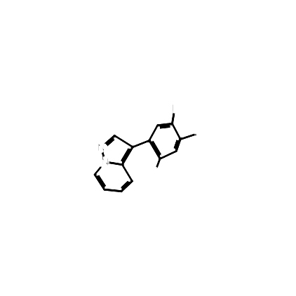 Fc1cc(F)c(-c2cnn3ccccc23)cc1F